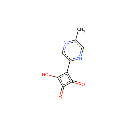 Cc1cnc(-c2c(O)c(=O)c2=O)cn1